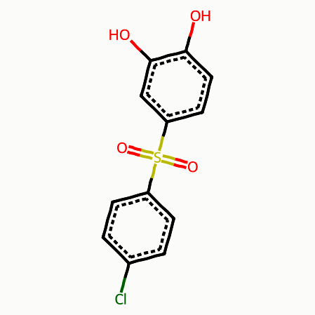 O=S(=O)(c1ccc(Cl)cc1)c1ccc(O)c(O)c1